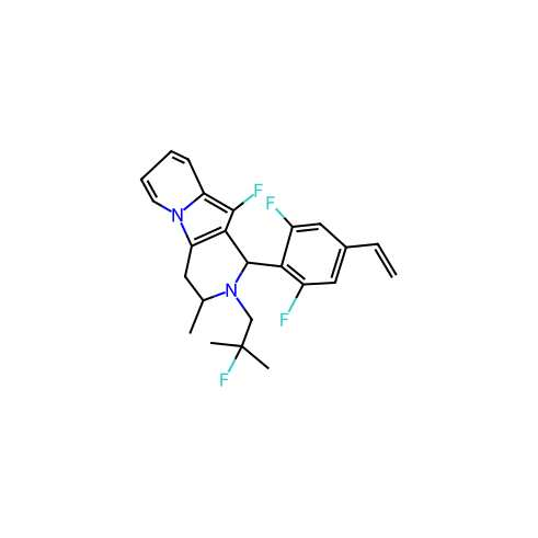 C=Cc1cc(F)c(C2c3c(F)c4ccccn4c3CC(C)N2CC(C)(C)F)c(F)c1